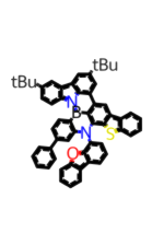 CC(C)(C)c1ccc2c(c1)c1cc(C(C)(C)C)cc3c1n2B1c2ccc(-c4ccccc4)cc2N(c2cccc4c2oc2ccccc24)c2c1c-3cc1c2sc2ccccc21